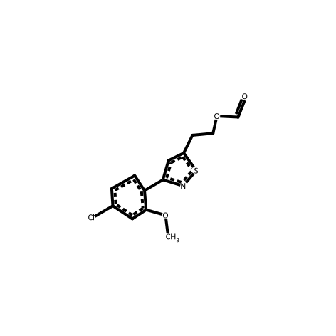 COc1cc(Cl)ccc1-c1cc(CCOC=O)sn1